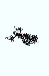 COc1cccc2c1C(=O)c1c(O)c3c(c(O)c1C2=O)C[C@@](O)(C(=O)COC(=O)N(C)CCN(C)C(=O)OCc1ccc(NC(=O)[C@H](CCCNC(N)=O)NC[C@@H](NC(=O)CCCCCN2C(=O)CC(S)C2=O)C(C)C)cc1)C[C@@H]3O[C@H]1C[C@H]2[C@H](O[C@@H]3[C@@H](OC)OCCN32)[C@H](C)O1